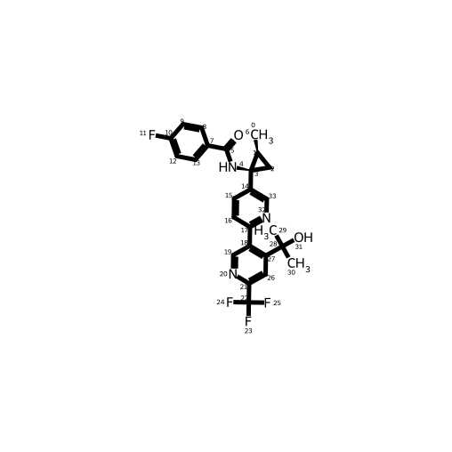 C[C@H]1C[C@]1(NC(=O)c1ccc(F)cc1)c1ccc(-c2cnc(C(F)(F)F)cc2C(C)(C)O)nc1